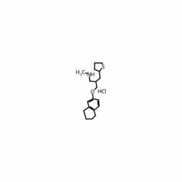 CNCC(COc1ccc2c(c1)CCCC2)CC1CCCS1.Cl